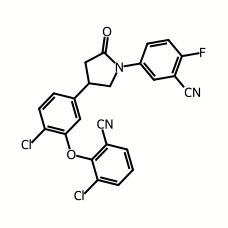 N#Cc1cc(N2CC(c3ccc(Cl)c(Oc4c(Cl)cccc4C#N)c3)CC2=O)ccc1F